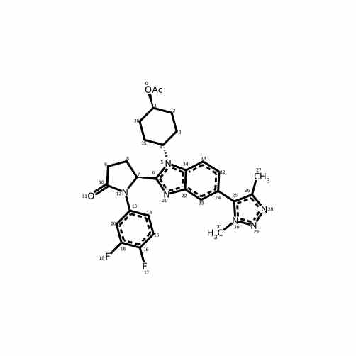 CC(=O)O[C@H]1CC[C@H](n2c([C@@H]3CCC(=O)N3c3ccc(F)c(F)c3)nc3cc(-c4c(C)nnn4C)ccc32)CC1